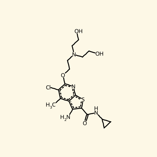 Cc1c(Cl)c(OCCN(CCO)CCO)nc2sc(C(=O)NC3CC3)c(N)c12